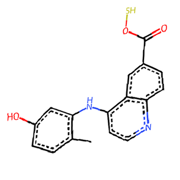 Cc1ccc(O)cc1Nc1ccnc2ccc(C(=O)OS)cc12